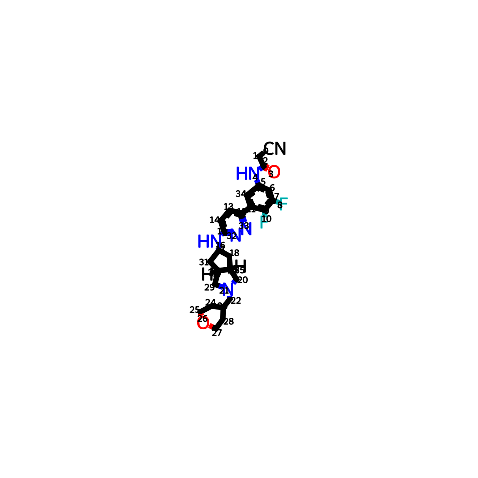 N#CCC(=O)Nc1cc(F)c(F)c(-c2ccc(NC3C[C@@H]4CN(CC5CCOCC5)C[C@@H]4C3)nn2)c1